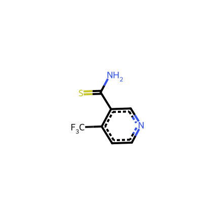 NC(=S)c1cnccc1C(F)(F)F